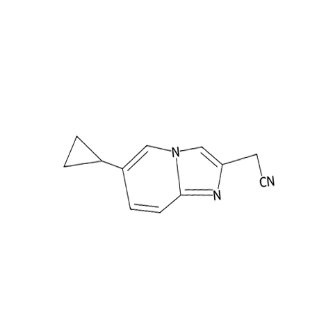 N#CCc1cn2cc(C3CC3)ccc2n1